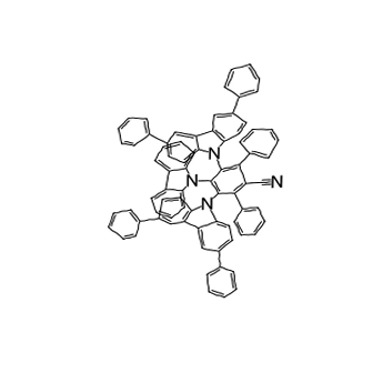 N#Cc1c(-c2ccccc2)c(-n2c3ccc(-c4ccccc4)cc3c3cc(-c4ccccc4)ccc32)c(-n2c3ccccc3c3ccccc32)c(-n2c3ccc(-c4ccccc4)cc3c3cc(-c4ccccc4)ccc32)c1-c1ccccc1